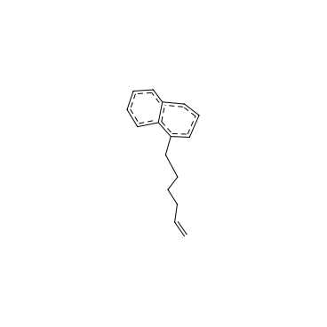 C=CCCCCc1cccc2ccccc12